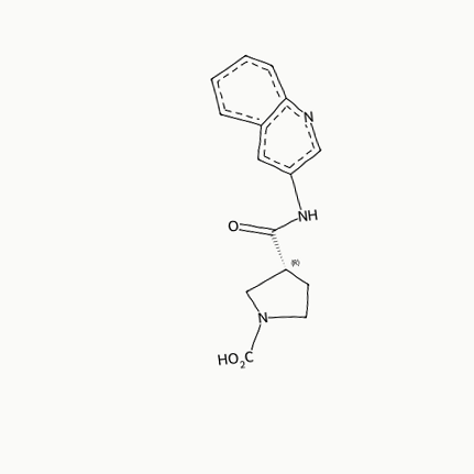 O=C(Nc1cnc2ccccc2c1)[C@@H]1CCN(C(=O)O)C1